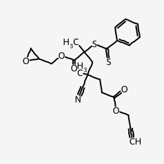 C#CCOC(=O)CCC(C)(C#N)CC(C)(SC(=S)c1ccccc1)C(=O)OCC1CO1